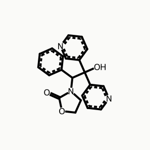 O=C1OCCN1C(c1ccccc1)C(O)(c1cccnc1)c1cccnc1